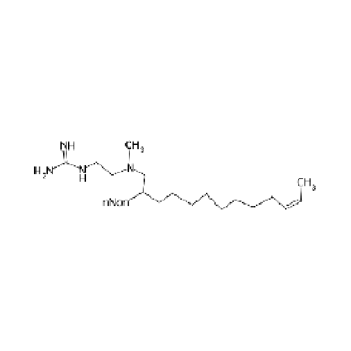 C/C=C\CCCCCCCCC(CCCCCCCCC)CN(C)CCNC(=N)N